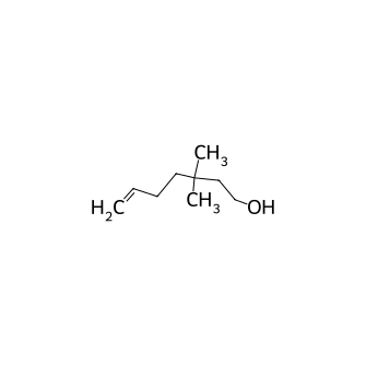 C=CCCC(C)(C)CCO